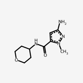 Cn1nc(N)cc1C(=O)NC1CCOCC1